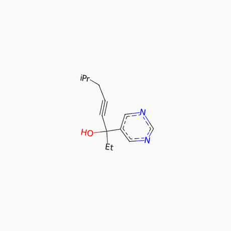 CCC(O)(C#CCC(C)C)c1cncnc1